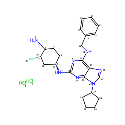 Cl.Cl.NC1CC[C@@H](Nc2nc(NCc3ccccc3)c3ncn(C4CCCC4)c3n2)C[C@@H]1F